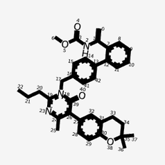 C=C(NC(=O)OC)c1ccccc1-c1ccc(Cn2c(CCC)nc(C)c(-c3ccc4c(c3)CCC(C)(C)O4)c2=O)cc1